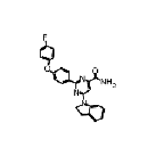 NC(=O)c1cc(N2CCc3ccccc32)nc(-c2ccc(Oc3ccc(F)cc3)cc2)n1